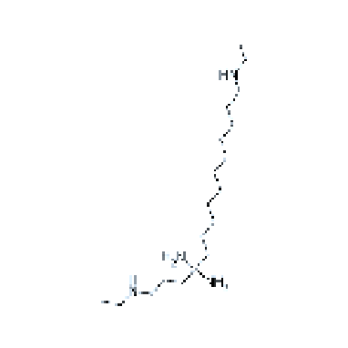 CCNCCCCCCCCCCCC(N)(N)CCCNCC